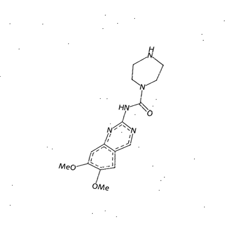 COc1cc2cnc(NC(=O)N3CCNCC3)nc2cc1OC